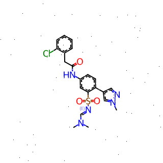 CN(C)/C=N/S(=O)(=O)c1cc(NC(=O)Cc2ccccc2Cl)ccc1-c1cnn(C)c1